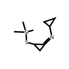 C[Si](C)(C)SC1C/C1=N/C1CC1